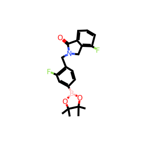 CC1(C)OB(c2ccc(CN3Cc4c(F)cccc4C3=O)c(F)c2)OC1(C)C